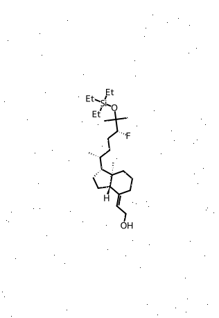 CC[Si](CC)(CC)OC(C)(C)[C@H](F)CC[C@@H](C)[C@H]1CC[C@H]2/C(=C/CO)CCC[C@]12C